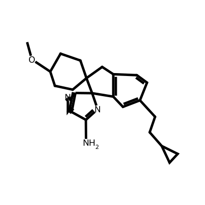 COC1CCC2(CC1)Cc1ccc(CCC3CC3)cc1C21N=C(N)c2ccncc21